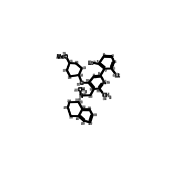 CCc1cccc(CC)c1-c1cc(OC2CCC(OC)CC2)c(CN(C)[C@H]2CCCc3ccccc32)c(C)n1